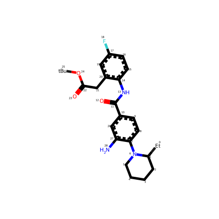 CCC1CCCCN1c1ccc(C(=O)Nc2ccc(F)cc2CC(=O)OC(C)(C)C)cc1N